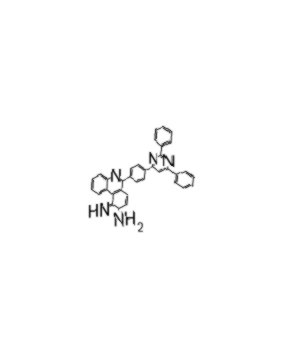 N=C1c2c(c(-c3ccc(-c4cc(-c5ccccc5)nc(-c5ccccc5)n4)cc3)nc3ccccc23)C=CC1N